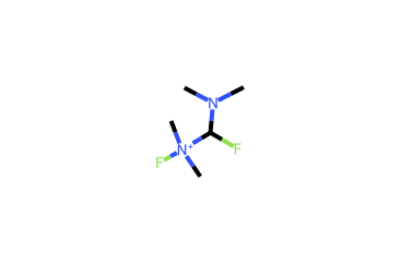 CN(C)C(F)[N+](C)(C)F